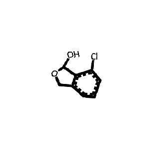 OC1OCc2cccc(Cl)c21